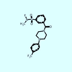 CN(F)S(=O)(=O)c1cccc(C(=O)N2CCN(c3ccc(C(F)(F)F)cc3)CC2)c1